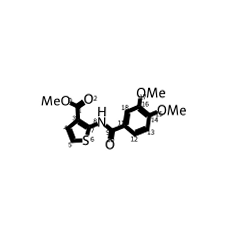 COC(=O)c1ccsc1NC(=O)c1ccc(OC)c(OC)c1